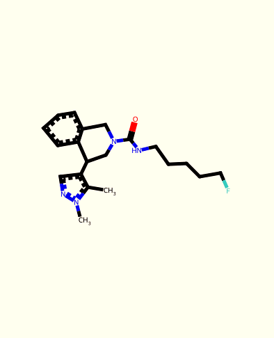 Cc1c(C2CN(C(=O)NCCCCCF)Cc3ccccc32)cnn1C